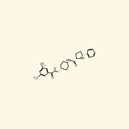 O=C(NC[C@H]1CC[C@@H](NC(=O)[C@@H]2CC[C@H](c3ccccc3)N2)CC1)c1cc(C(F)(F)F)cc(C(F)(F)F)c1